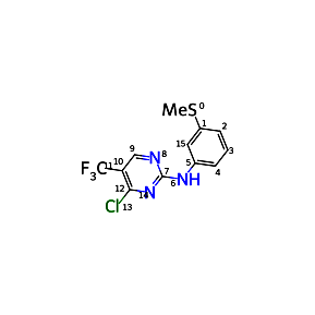 CSc1cccc(Nc2ncc(C(F)(F)F)c(Cl)n2)c1